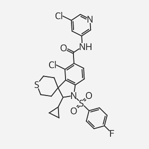 O=C(Nc1cncc(Cl)c1)c1ccc2c(c1Cl)C1(CCSCC1)C(C1CC1)N2S(=O)(=O)c1ccc(F)cc1